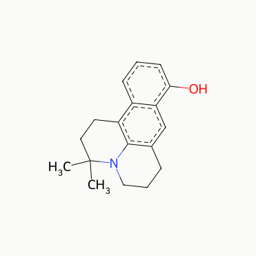 CC1(C)CCc2c3c(cc4c(O)cccc24)CCCN31